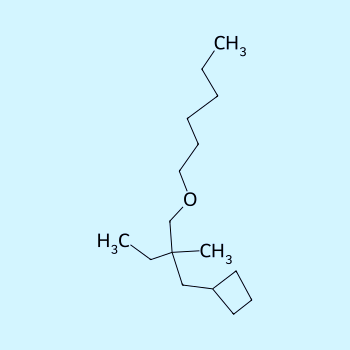 CCCCCCOCC(C)(CC)CC1CCC1